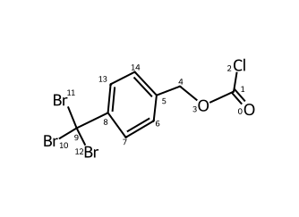 O=C(Cl)OCc1ccc(C(Br)(Br)Br)cc1